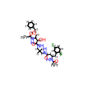 CCCC(=O)NC(CC(=O)NCC(C)(C)CNC(=O)C(O)C(COCc1ccccc1)NC(=O)CCC)Cc1cc(F)ccc1F